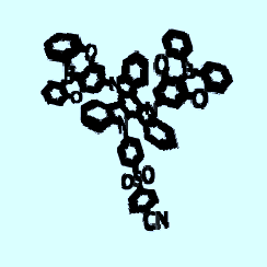 N#Cc1ccc(S(=O)(=O)c2ccc(N3c4c(c5c(c6ccccc6n5-c5cc6c7c(c5)Oc5ccccc5B7c5ccccc5O6)c5c4c4ccccc4n5-c4cc5c6c(c4)Oc4ccccc4B6c4ccccc4O5)C4C=CC=CC43)cc2)cc1